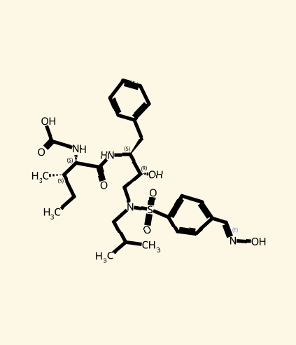 CC[C@H](C)[C@H](NC(=O)O)C(=O)N[C@@H](Cc1ccccc1)[C@H](O)CN(CC(C)C)S(=O)(=O)c1ccc(/C=N/O)cc1